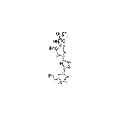 CC(C)Cc1cc(-c2nc(-c3ccc(NS(=O)(=O)C(F)(F)F)c(C(C)C)c3)cs2)ccn1